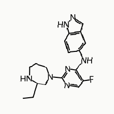 CCC1CN(c2ncc(F)c(Nc3ccc4[nH]ncc4c3)n2)CCCN1